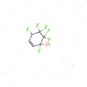 [B]C1(F)C=CC(F)C(F)(F)C1(F)F